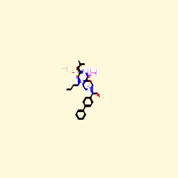 CCCCN1C(=O)[C@@H]([C@H](O)C(C)C)NC(=O)C12CCN(C(CO)c1ccc(-c3ccccc3)cc1)CC2